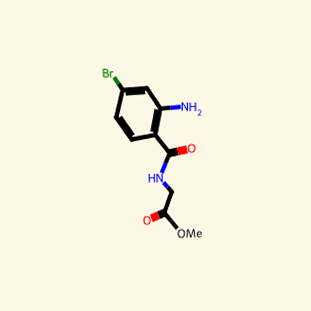 COC(=O)CNC(=O)c1ccc(Br)cc1N